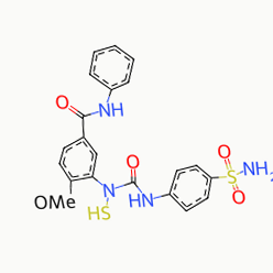 COc1ccc(C(=O)Nc2ccccc2)cc1N(S)C(=O)Nc1ccc(S(N)(=O)=O)cc1